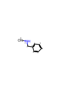 O=NNCc1ccccc1